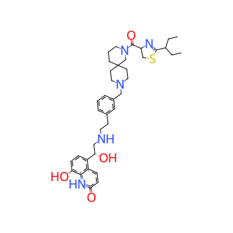 CCC(CC)C1=NC(C(=O)N2CCCC3(CCN(Cc4cccc(CCNC[C@H](O)c5ccc(O)c6[nH]c(=O)ccc56)c4)CC3)C2)CS1